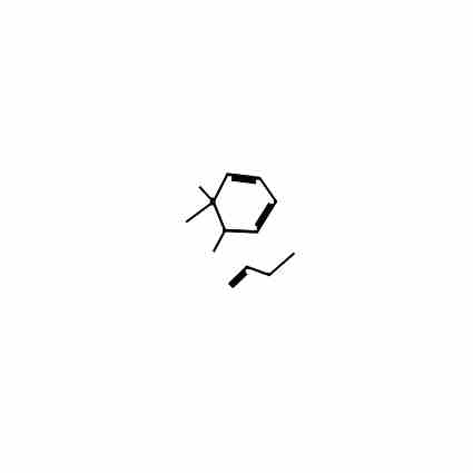 CC1(O)C=CC=CC1O.CCC=O